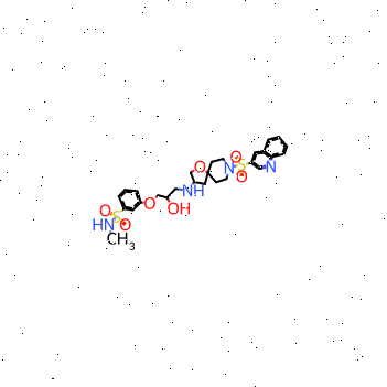 CNS(=O)(=O)c1cccc(OCC(O)CNC2COC3(CCN(S(=O)(=O)c4cnc5ccccc5c4)CC3)C2)c1